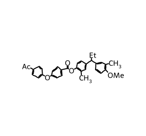 CCC(c1ccc(OC)c(C)c1)c1ccc(OC(=O)c2ccc(Oc3ccc(C(C)=O)cc3)cc2)c(C)c1